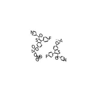 O=C(c1ccncc1)c1sc2cc(OC(=O)C3(CO[N+](=O)[O-])CC3)ccc2c1-c1ccc(F)cc1.[CH2]C1(COc2ccc3c(-c4ccc(F)cc4)c(C(=O)c4ccncc4)sc3c2)CC1